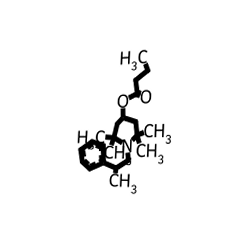 CCCC(=O)OC1CC(C)(C)N(CC(C)c2ccccc2)C(C)(C)C1